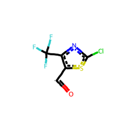 O=[C]c1sc(Cl)nc1C(F)(F)F